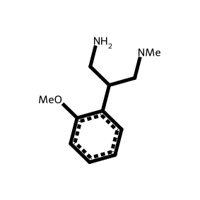 CNCC(CN)c1ccccc1OC